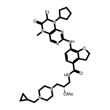 CCC1C(=O)N(C)c2cnc(Nc3ccc(C(=O)NC[C@@H](CN4CCN(CC5CC5)CC4)OC)c4c3OCC4)nc2N1C1CCCC1